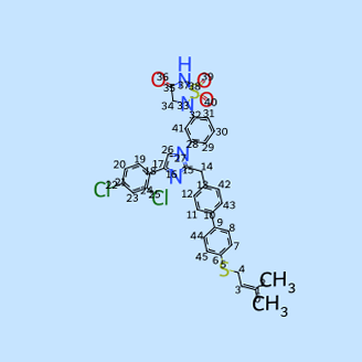 CC(C)=CCSc1ccc(-c2ccc(Cc3nc(-c4ccc(Cl)cc4Cl)cn3-c3cccc(N4CC(=O)NS4(=O)=O)c3)cc2)cc1